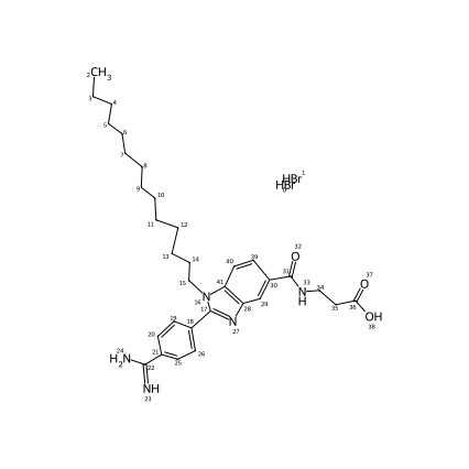 Br.Br.CCCCCCCCCCCCCCn1c(-c2ccc(C(=N)N)cc2)nc2cc(C(=O)NCCC(=O)O)ccc21